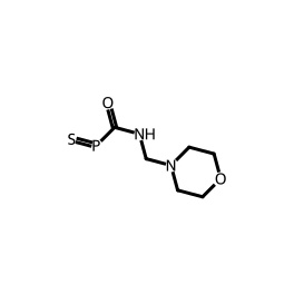 O=C(NCN1CCOCC1)P=S